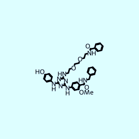 COc1cc(Nc2nc(NCCOCCOCCNC(=O)c3ccccc3)nc(Nc3ccc(O)cc3)n2)ccc1C(=O)NCc1ccccc1